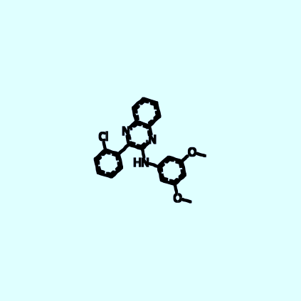 COc1cc(Nc2nc3ccccc3nc2-c2ccccc2Cl)cc(OC)c1